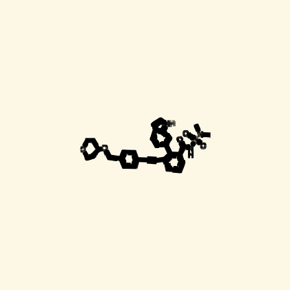 CN(C)S(=O)(=O)NC(=O)c1cccc(C#Cc2ccc(COC3CCOCC3)cc2)c1-c1ccc2cc[nH]c2c1